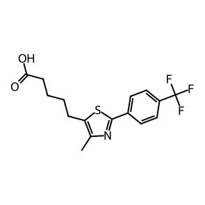 Cc1nc(-c2ccc(C(F)(F)F)cc2)sc1CCCCC(=O)O